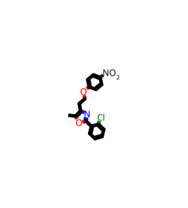 Cc1oc(-c2ccccc2Cl)nc1CCOc1ccc([N+](=O)[O-])cc1